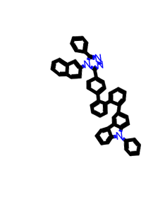 c1ccc(-c2nnc(-c3ccc(-c4ccccc4-c4ccccc4-c4ccc5c(c4)c4ccccc4n5-c4ccccc4)cc3)n2-c2ccc3ccccc3c2)cc1